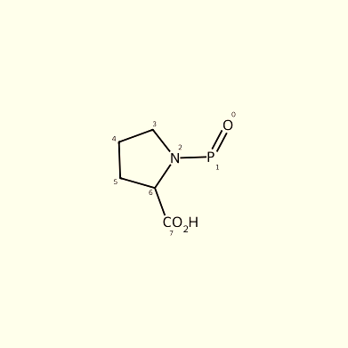 O=PN1CCCC1C(=O)O